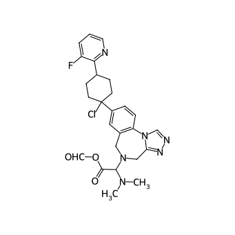 CN(C)C(C(=O)OC=O)N1Cc2cc(C3(Cl)CCC(c4ncccc4F)CC3)ccc2-n2cnnc2C1